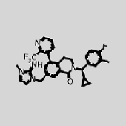 Cc1cc(C(C2CC2)N2CCc3c(cc(Cn4ccn(C)c4=N)cc3-c3cccnc3C(F)(F)F)C2=O)ccc1F